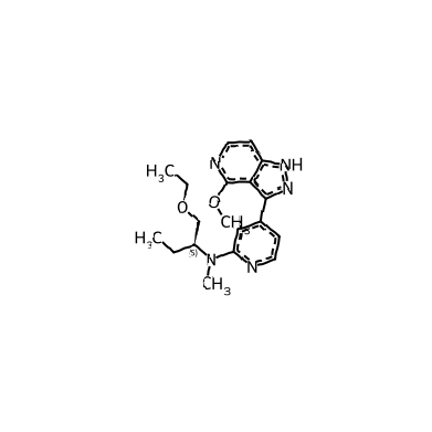 CCOC[C@H](CC)N(C)c1cc(-c2n[nH]c3ccnc(OC)c23)ccn1